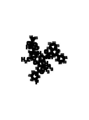 C=CC1CC1(NC(=O)[C@@H]1C[C@@H](NC(=O)c2cc(-c3ccccc3)nc3ccccc23)CN1C(=O)[C@@H](CC(=O)N1CCCC(F)C1)C(C)(C)C)C(=O)NS(=O)(=O)C1CC1